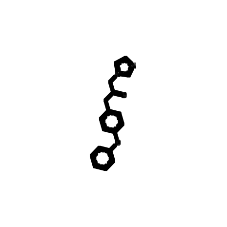 O=C(Cc1ccc(Oc2ccccc2)cc1)Cn1ccnc1